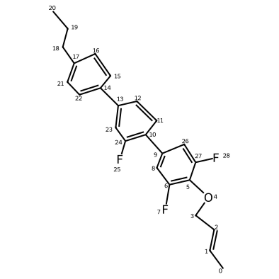 CC=CCOc1c(F)cc(-c2ccc(-c3ccc(CCC)cc3)cc2F)cc1F